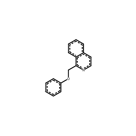 [c]1ccc(OCc2nccc3ccccc23)cc1